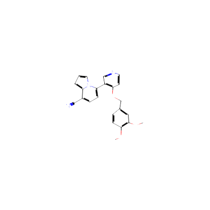 COc1ccc(COc2ccncc2-c2ccc(C#N)c3cccn23)cc1OC